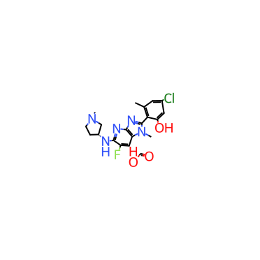 Cc1cc(Cl)cc(O)c1-c1nc2nc(N[C@@H]3CCN(C)C3)c(F)cc2n1C.O=CO